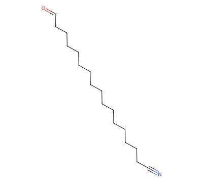 N#CCCCCCCCCCCCCCCC[C]=O